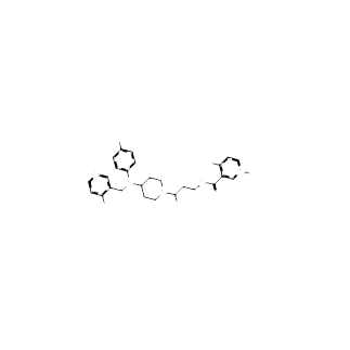 Cc1ccc(N(Cc2cnccc2C)C2CCN(C(C)CCNC(=O)c3c[n+]([O-])ccc3C)CC2)cc1